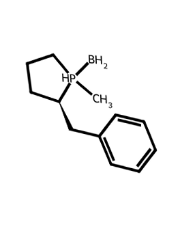 B[PH]1(C)CCC[C@@H]1Cc1ccccc1